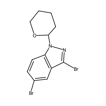 Brc1ccc2c(c1)c(Br)nn2C1CCCCO1